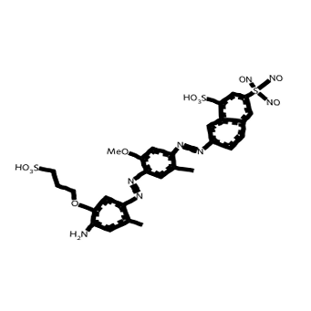 COc1cc(N=Nc2ccc3cc(S(N=O)(N=O)N=O)cc(S(=O)(=O)O)c3c2)c(C)cc1N=Nc1cc(OCCCS(=O)(=O)O)c(N)cc1C